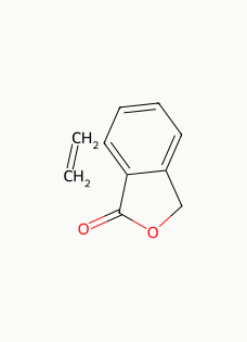 C=C.O=C1OCc2ccccc21